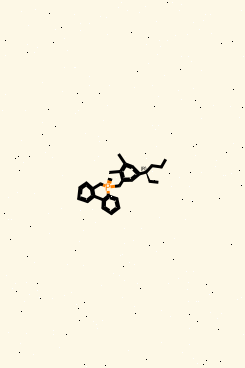 C=P1(Cc2cc([C@H](CC)CCC)cc(C)c2C)Cc2ccccc2-c2ccccc21